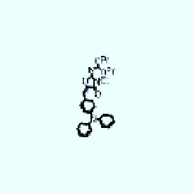 CCCC(CCC)N=C1O/C(=C/c2ccc(N(c3ccccc3)c3ccccc3)cc2)C(=O)N1CC